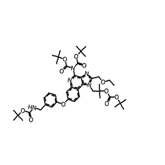 CCOCc1nc2c(N(C(=O)OC(C)(C)C)C(=O)OC(C)(C)C)nc3cc(Oc4cccc(CNC(=O)OC(C)(C)C)c4)ccc3c2n1CC(C)(C)OC(=O)OC(C)(C)C